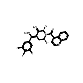 CC[C@H]1C/C(=C(/NC)c2cc(F)c(F)c(F)c2)C(=N)[C@@H](CC)N1C(=O)c1ccnc2ccccc12